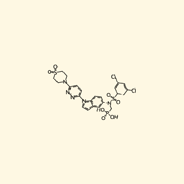 O=P(O)(O)CN(c1ccc2c(ccn2-c2ccc(N3CCS(=O)(=O)CC3)nn2)c1)S(=O)(=O)C1C=C(Cl)C=C(Cl)C1